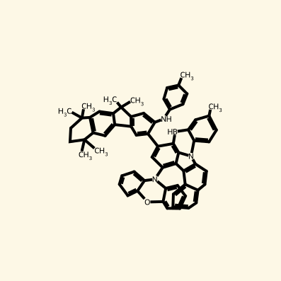 Cc1ccc(Nc2cc3c(cc2-c2cc(N4c5ccccc5Oc5ccccc54)c4c5c6ccccc6ccc5n5c4c2Bc2cc(C)ccc2-5)-c2cc4c(cc2C3(C)C)C(C)(C)CCC4(C)C)cc1